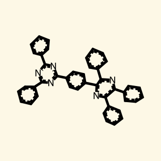 c1ccc(-c2nc(-c3ccccc3)nc(-c3ccc(-c4nc(-c5ccccc5)c(-c5ccccc5)nc4-c4ccccc4)cc3)n2)cc1